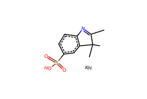 CC1=Nc2ccc(S(=O)(=O)O)cc2C1(C)C.[KH]